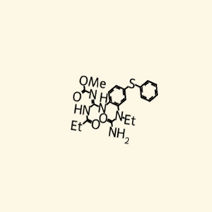 CCC(=O)NC(=NC(=O)OC)Nc1ccc(Sc2ccccc2)cc1N(CC)C(N)=O